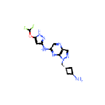 N[C@H]1C[C@H](Cn2ncc3ncc(Nc4cc(OC(F)F)[nH]n4)nc32)C1